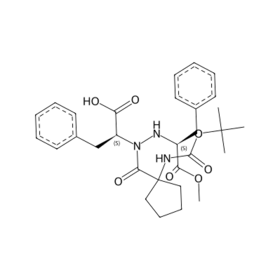 COC(=O)[C@H](Cc1ccccc1)NN(C(=O)C1(NC(=O)OC(C)(C)C)CCCC1)[C@@H](Cc1ccccc1)C(=O)O